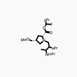 CCCC(F)OC(=O)[C@H]1C[C@@H](COC)CN1CC(CCC)C(C)NC(C)=O